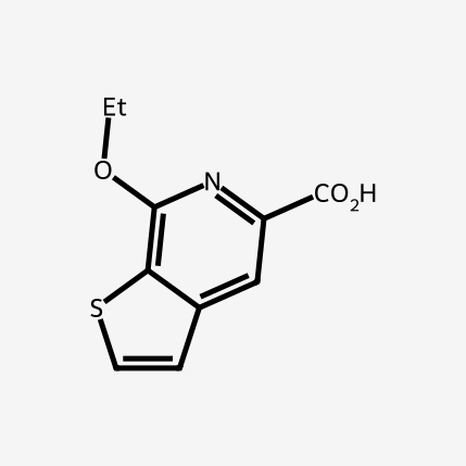 CCOc1nc(C(=O)O)cc2ccsc12